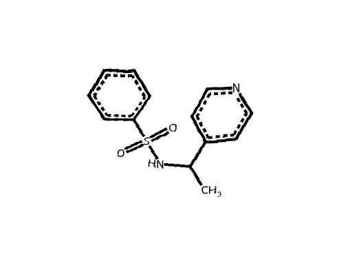 CC(NS(=O)(=O)c1ccccc1)c1ccncc1